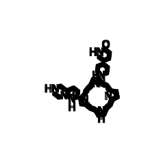 C1=Cc2cc3ccc(cc4nc(cc5ccc(cc1n2)[nH]5)C=C4)[nH]3.C1CCNCC1.C1CCNCC1.C1CNCCN1.O=C1CCCCN1